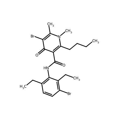 CCCCc1c(C(=O)Nc2c(CC)ccc(Br)c2CC)c(=O)c(Br)c(C)n1C